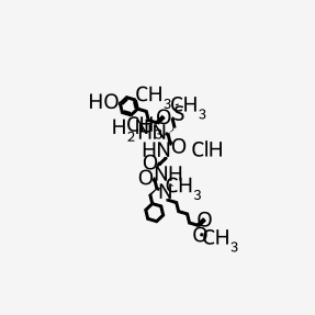 COC(=O)CCCCCN(C)[C@@H](CC1CCCCC1)C(=O)NC(=O)CNC(=O)[C@@H](CCSC)NC(=O)[C@H](N)Cc1c(C)cc(O)cc1C.Cl